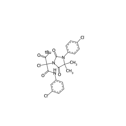 CC(C)(C)C(=O)C(Cl)(C(=O)Nc1cccc(Cl)c1)N1C(=O)N(c2ccc(Cl)cc2)C(C)(C)C1=O